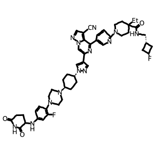 CCC1(C(=O)NC[C@H]2C[C@@H](F)C2)CCN(c2ccc(-c3nc(-c4cnn([C@H]5CC[C@H](N6CCN(c7ccc(NC8CCC(=O)NC8=O)cc7F)CC6)CC5)c4)cn4ncc(C#N)c34)cn2)CC1